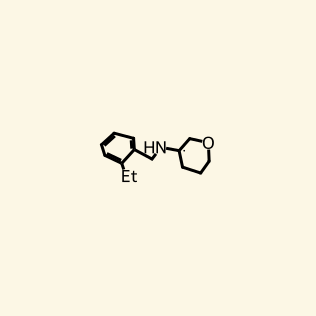 CCc1ccccc1CN[C]1CCCOC1